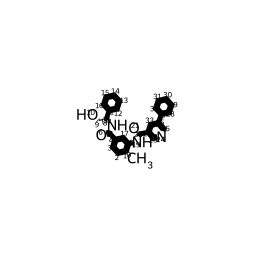 Cc1ccc(C(=O)N[C@H](CO)c2ccccc2)cc1NC(=O)c1cncc(-c2ccccc2)c1